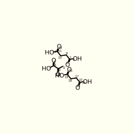 CC(=O)C(=O)O.O=C(O)CCC(=O)O.O=C(O)CCC(=O)O